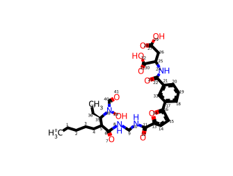 CCCCCC(C(=O)NCNC(=O)c1ccc(-c2cccc(C(=O)NC(CC(=O)O)C(=O)O)c2)o1)[C@@H](CC)N(O)C=O